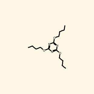 CCCCOc1nc(OCCCC)nc(OCCCC)n1